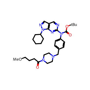 COCCCC(=O)N1CCN(Cc2ccc(N(C(=O)OC(C)(C)C)c3ncc4cnn(C5CCCCC5)c4n3)cc2)CC1